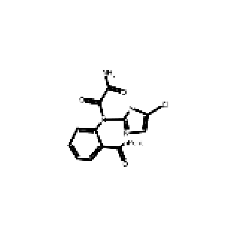 CCCCCC(=O)c1ccccc1N(C(=O)C(N)=O)c1ncc(Cl)s1